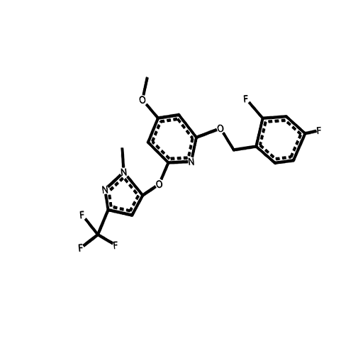 COc1cc(OCc2ccc(F)cc2F)nc(Oc2cc(C(F)(F)F)nn2C)c1